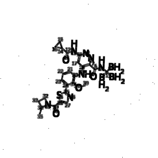 BC(B)(B)NC(=O)c1nnc(NC(=O)C2CC2)cc1Nc1cccc(-c2ncc(C(=O)N3CCC3C)s2)c1OC